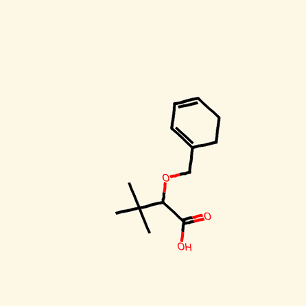 CC(C)(C)C(OCC1=CC=CCC1)C(=O)O